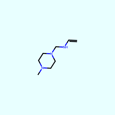 C=CNCN1CCN(C)CC1